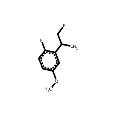 [CH2]C(CF)c1cc(OC)ccc1F